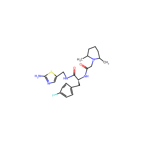 CC1CCCC(C)N1CC(=O)N[C@@H](Cc1ccc(F)cc1)C(=O)NCc1cnc(N)s1